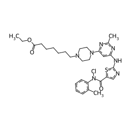 CCOC(=O)CCCCCCN1CCN(c2cc(Nc3ncc(C(=O)N(Cl)c4ccccc4C)s3)nc(C)n2)CC1